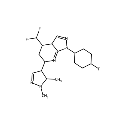 CC1C(C2CC(C(F)F)C3C=NN(C4CCC(F)CC4)C3=N2)C=NN1C